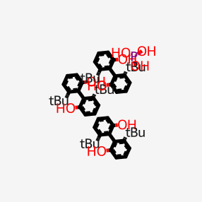 CC(C)(C)c1cccc(O)c1-c1c(O)cccc1C(C)(C)C.CC(C)(C)c1cccc(O)c1-c1c(O)cccc1C(C)(C)C.CC(C)(C)c1cccc(O)c1-c1c(O)cccc1C(C)(C)C.OP(O)O